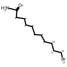 NC(=O)CCCCCCCCCCBr